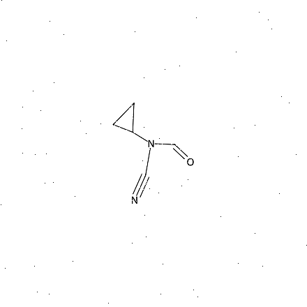 N#CN(C=O)C1CC1